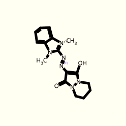 Cn1c(/N=N/c2c(O)n3n(c2=O)CCCC3)[n+](C)c2ccccc21